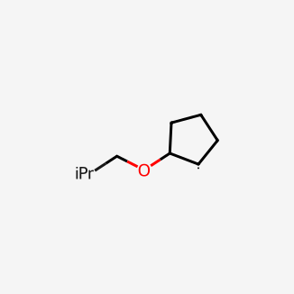 CC(C)COC1[CH]CCC1